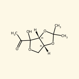 CC(=O)C1(O)OC[C@H]2OC(C)(C)O[C@H]21